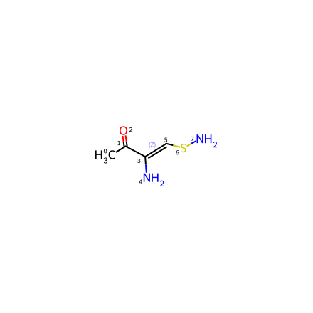 CC(=O)/C(N)=C/SN